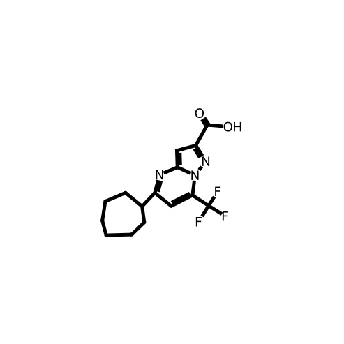 O=C(O)c1cc2nc(C3CCCCCC3)cc(C(F)(F)F)n2n1